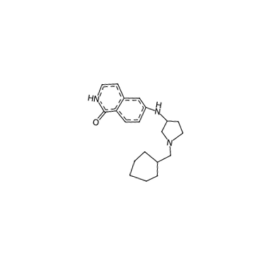 O=c1[nH]ccc2cc(NC3CCN(CC4CCCCC4)C3)ccc12